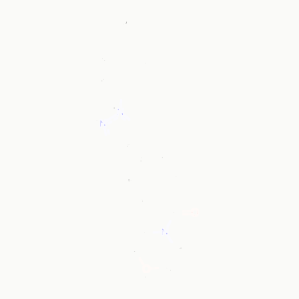 O=C(c1ccc(-c2cnn(C3C=CC(F)=CC3)c2)cc1)N1CCOCC1